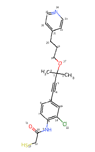 CC(C)(C#Cc1ccc(NC(=O)CS)c(Cl)c1)OCCCc1ccncc1